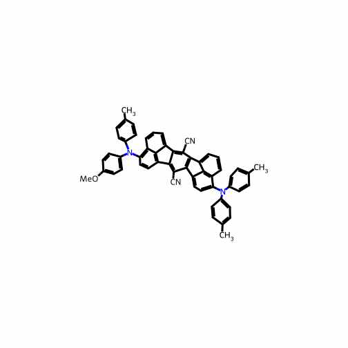 COc1ccc(N(c2ccc(C)cc2)c2ccc3c4c(C#N)c5c6ccc(N(c7ccc(C)cc7)c7ccc(C)cc7)c7cccc(c5c(C#N)c4c4cccc2c43)c76)cc1